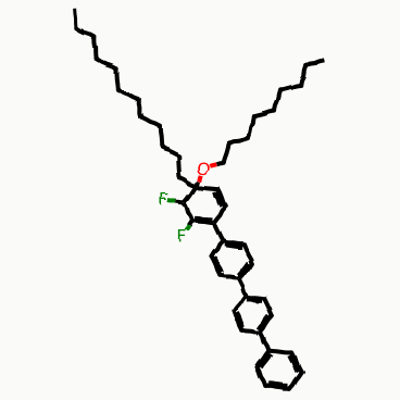 CCCCCCCCCCCCC1(OCCCCCCCCC)C=CC(c2ccc(-c3ccc(-c4ccccc4)cc3)cc2)=C(F)C1F